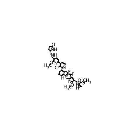 COC(=O)C1(NCc2cc(C(F)(F)F)c(N[C@H]3CCc4c(-c5nccc(-c6ccc(CNC[C@@H]7CCC(=O)N7)c(OC)n6)c5Cl)cccc43)nc2OC)CC1